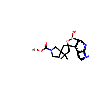 CCCOC(=O)N1CCC2(C1)CC1(CC2(C)C)OB(O)c2cnc3[nH]ccc3c21